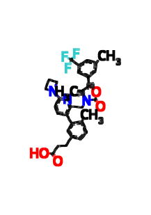 Cc1cc([C@H]2OC(=O)N(Cc3nc(N4CCC4)ccc3-c3cc(CCC(=O)O)ccc3C)[C@H]2C)cc(C(F)(F)F)c1